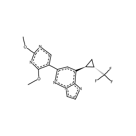 COc1ncc(-c2cc([C@H]3C[C@@H]3C(F)(F)F)c3nccn3n2)c(OC)n1